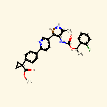 COC(=O)C1(c2ccc(-c3ccc(-c4snc(C)c4NC(=O)O[C@H](C)c4ccccc4Cl)cn3)cc2)CC1